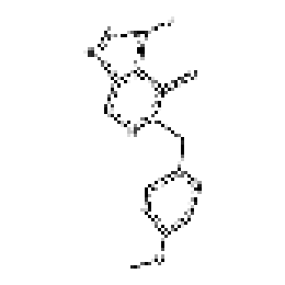 COc1ccc(Cn2ncc3[nH]cc(Br)c3c2=O)cc1